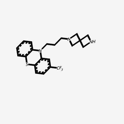 FC(F)(F)c1ccc2c(c1)N(CCCN1CC3(CNC3)C1)c1ccccc1S2